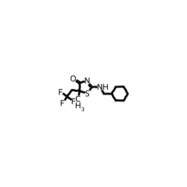 CC1(CC(F)(F)F)SC(NCC2CCCCC2)=NC1=O